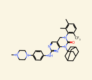 Cc1ccc(C(F)(F)F)c(N2Cc3cnc(Nc4ccc(N5CCN(C)CC5)cc4)nc3N(C34CC5CC(CC(C5)C3)C4)C2=O)c1C